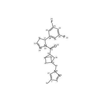 Cc1cnn(CC23CC(C2)C(C(=O)N2N=CCC2c2cc(F)cc(F)c2)C3)c1